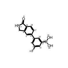 O=C1NCc2cc(-c3cc(F)cc(B(O)O)c3)ccc21